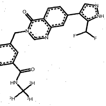 [2H]C([2H])([2H])NC(=O)c1cccc(Cn2cnc3cc(-c4cn[nH]c4C(F)F)ccc3c2=O)c1